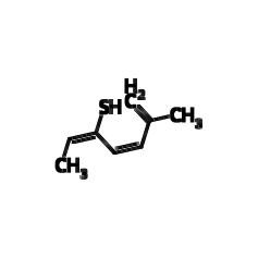 C=C(C)/C=C\C(S)=C/C